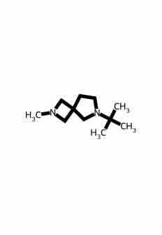 CN1CC2(CCN(C(C)(C)C)C2)C1